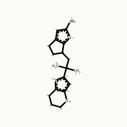 CC(C)(C)c1cc2c(s1)C(CC(C)(C)c1cc3c(s1)CCCO3)CC2